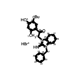 Br.Cc1cc(O)c(C(C)(C)C)cc1C(=O)Cn1c(=N)n(Cc2ccccc2)c2ccccc21